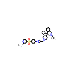 CCN1Cc2ccccc2C(C2CCCC2)(C2CCN(CC3CN(c4ccc(S(=O)(=O)c5ccnc(C)c5)cc4)C3)CC2)C1